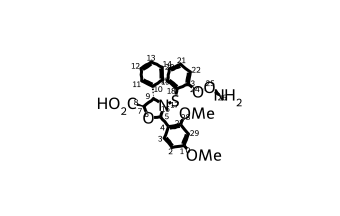 COc1ccc(C2O[C@@H](C(=O)O)[C@H](c3ccccc3)N2Sc2ccccc2OON)c(OC)c1